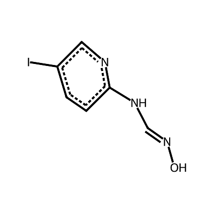 ON=CNc1ccc(I)cn1